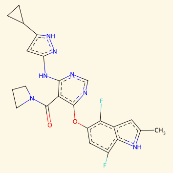 Cc1cc2c(F)c(Oc3ncnc(Nc4cc(C5CC5)[nH]n4)c3C(=O)N3CCC3)cc(F)c2[nH]1